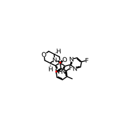 Cc1cccc(C(=O)N2[C@H]3COC[C@@H]2c2nnc(-c4ncc(F)cn4)n2C3)c1F